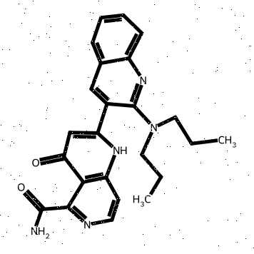 CCCN(CCC)c1nc2ccccc2cc1-c1cc(=O)c2c(C(N)=O)nccc2[nH]1